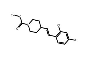 CC(C)(C)OC(=O)N1CCC(/C=C/c2ccc(F)cc2Cl)CC1